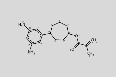 C=C(C)C(=O)OC1CCCC(c2cc(N)cc(N)c2)CC1